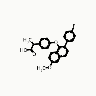 COc1ccc2c(Oc3ccc(C(C)C(=O)O)cc3)c(-c3ccc(F)cc3)ccc2c1